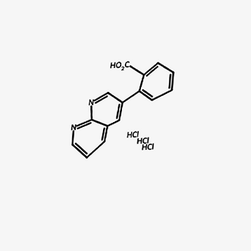 Cl.Cl.Cl.O=C(O)c1ccccc1-c1cnc2ncccc2c1